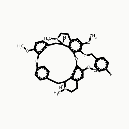 COc1ccc2cc1Oc1ccc(cc1)C[C@H]1c3cc(c(OC)cc3CCN1C)Oc1c(OCc3ccc(F)cc3)c(OC)cc3c1[C@H](C2)N(C)CC3